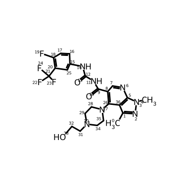 Cc1nn(C)c2ncc(C(=O)NC(=O)Nc3ccc(F)c(C(F)(F)F)c3)c(N3CCN(CCO)CC3)c12